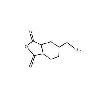 CCC1CCC2C(=O)OC(=O)C2C1